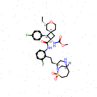 CC[C@H]1C[C@@]2(CCO1)C[C@@](NC(=O)OC)(C(=O)Nc1cccc(F)c1CC[C@H]1CN[C@@H]3CCCS(=O)(=O)N1C3)[C@H]2c1ccc(F)cc1